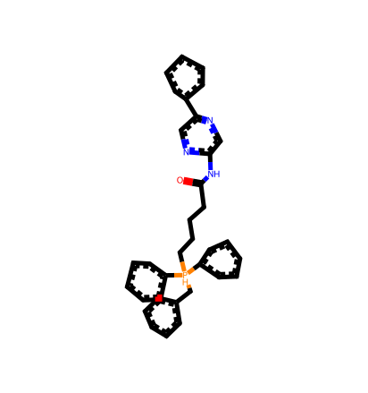 O=C(CCCC[PH](Cc1ccccc1)(c1ccccc1)c1ccccc1)Nc1cnc(-c2ccccc2)cn1